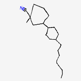 CCCCCCC1CCC(C2CCCC(C)(C#N)C2)CC1